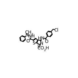 CN(NC(=O)c1cc2c(NC(=O)c3ccc(CCl)cc3)nn(C(=O)O)c2s1)c1ccccc1